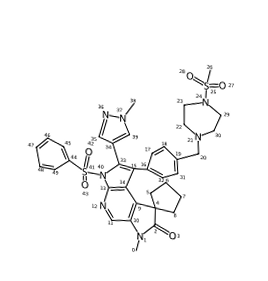 CN1C(=O)C2(CCCC2)c2c1cnc1c2c(-c2ccc(CN3CCN(S(C)(=O)=O)CC3)cc2)c(-c2cnn(C)c2)n1S(=O)(=O)c1ccccc1